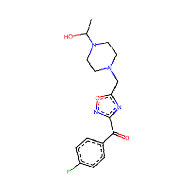 CC(O)N1CCN(Cc2nc(C(=O)c3ccc(F)cc3)no2)CC1